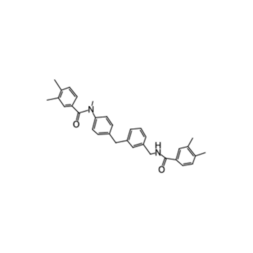 Cc1ccc(C(=O)NCc2cccc(Cc3ccc(N(C)C(=O)c4ccc(C)c(C)c4)cc3)c2)cc1C